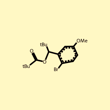 COc1ccc(Br)c(C(OC(=O)C(C)(C)C)C(C)(C)C)c1